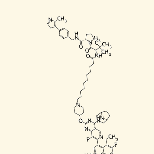 CCc1c(F)ccc2cc(O)cc(-c3ncc4c(N5CC6CCC(C5)N6)nc(OC5CCN(CCCCCCCCCCC(=O)NC(C(=O)N6CCC[C@H]6C(=O)NCc6ccc(C7=C(C)N=CC7)cc6)C(C)(C)C)CC5)nc4c3F)c12